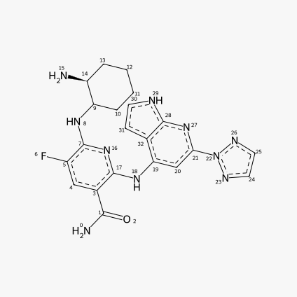 NC(=O)c1cc(F)c(NC2CCCC[C@@H]2N)nc1Nc1cc(-n2nccn2)nc2[nH]ccc12